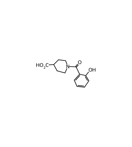 O=C(O)C1CCN(C(=O)c2ccccc2O)CC1